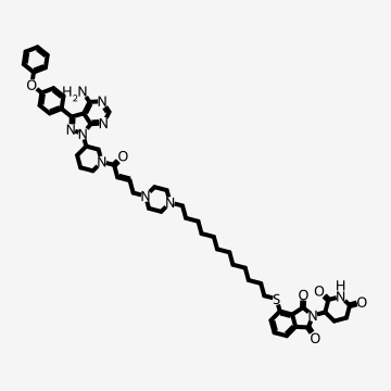 Nc1ncnc2c1c(-c1ccc(Oc3ccccc3)cc1)nn2C1CCCN(C(=O)/C=C/CN2CCN(CCCCCCCCCCCCSc3cccc4c3C(=O)N(C3CCC(=O)NC3=O)C4=O)CC2)C1